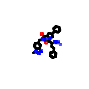 Cn1nnc2cc(CNC(=O)C3CC(c4ccccc4)CN3C(=O)C(N)CCc3ccccc3)ccc21